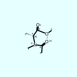 COC(=O)[C@@H](C)N(C)C(C)=O